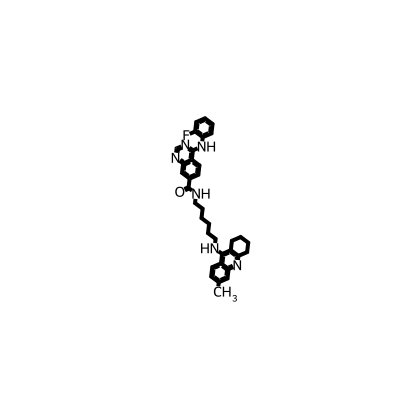 Cc1ccc2c(NCCCCCCNC(=O)c3ccc4c(Nc5ccccc5F)ncnc4c3)c3c(nc2c1)CCCC3